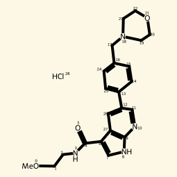 COCCNC(=O)c1c[nH]c2ncc(-c3ccc(CN4CCOCC4)cc3)cc12.Cl